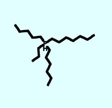 CCCCCCC[PH](CCC)(CCCCC)CCCCCC